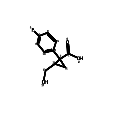 O=C(O)C1(c2ccc(F)cc2)CC1CO